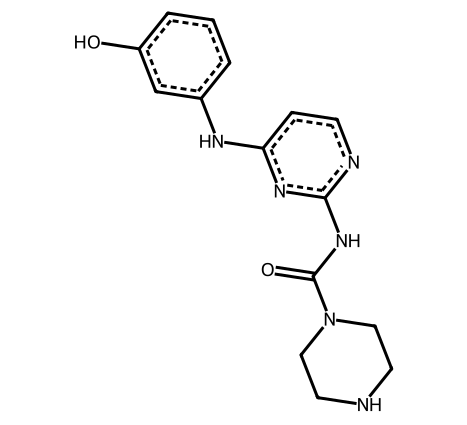 O=C(Nc1nccc(Nc2cccc(O)c2)n1)N1CCNCC1